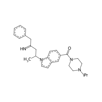 CC(C)N1CCN(C(=O)c2ccc3c(ccn3C(C)CC(=N)Cc3ccccc3)c2)CC1